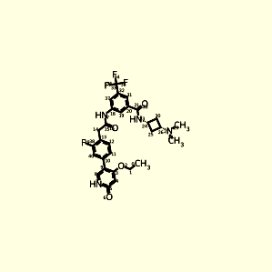 CCOc1cc(=O)[nH]cc1-c1ccc(CC(=O)Nc2cc(C(=O)N[C@H]3C[C@@H](N(C)C)C3)cc(C(F)(F)F)c2)c(F)c1